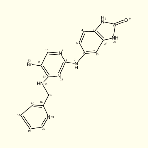 O=c1[nH]c2ccc(Nc3ncc(Br)c(NCc4ccccn4)n3)cc2[nH]1